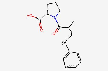 CC(C[Se]c1ccccc1)C(=O)N1CCC[C@H]1C(=O)O